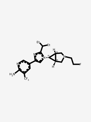 CCC(CC)c1nc(-c2cnc(N)c(C(F)(F)F)c2)cn1[C@@H]1[C@@H]2CN(CCF)C[C@@H]21